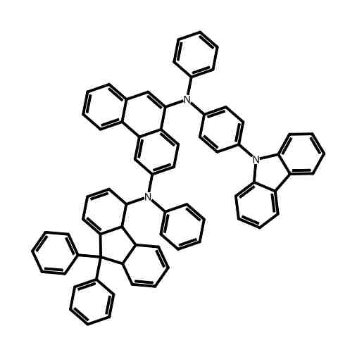 C1=CC2C3C(=CC=CC3N(c3ccccc3)c3ccc4c(N(c5ccccc5)c5ccc(-n6c7ccccc7c7ccccc76)cc5)cc5ccccc5c4c3)C(c3ccccc3)(c3ccccc3)C2C=C1